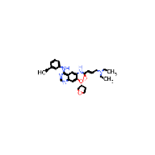 C#Cc1cccc(Nc2ncnc3cc(O[C@@H]4CCOC4)c(NC(=O)C=CCN(CC)CC)cc23)c1